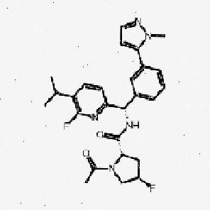 CC(=O)N1C[C@H](F)C[C@H]1C(=O)N[C@@H](c1cccc(-c2ccnn2C)c1)c1ccc(C(C)C)c(F)n1